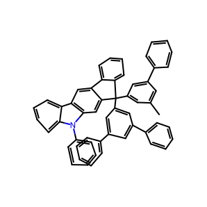 Cc1cc(-c2ccccc2)cc(C2(c3cc(-c4ccccc4)cc(-c4ccccc4)c3)c3ccccc3-c3cc4c5ccccc5n(-c5ccccc5)c4cc32)c1